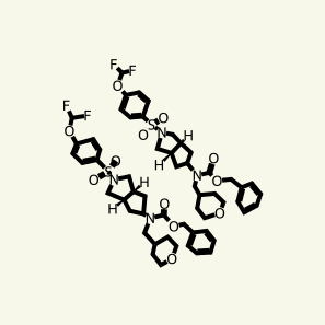 O=C(OCc1ccccc1)N(CC1CCOCC1)C1C[C@@H]2CN(S(=O)(=O)c3ccc(OC(F)F)cc3)C[C@@H]2C1.O=C(OCc1ccccc1)N(CC1CCOCC1)C1C[C@@H]2CN(S(=O)(=O)c3ccc(OC(F)F)cc3)C[C@@H]2C1